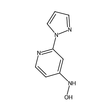 ONc1ccnc(-n2cccn2)c1